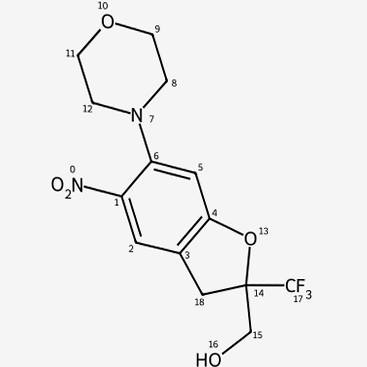 O=[N+]([O-])c1cc2c(cc1N1CCOCC1)OC(CO)(C(F)(F)F)C2